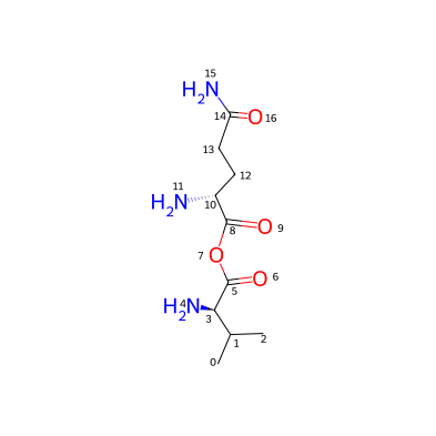 CC(C)[C@@H](N)C(=O)OC(=O)[C@H](N)CCC(N)=O